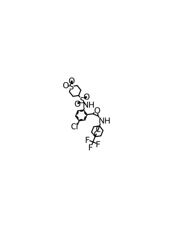 O=S1(=O)CCC(S(=O)(=O)Nc2ccc(Cl)cc2C2OC2NC23CCC(C(F)(F)F)(CC2)CC3)CC1